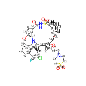 C[C@@H]1[C@@H](C)S(=O)(=O)NC(=O)c2ccc3c(c2)N(C[C@@H]2CC[C@H]2[C@@H](OCCN2CCS(=O)(=O)CC2)C2=C[C@H]1C2)C[C@@]1(CCCc2c1ccc(Cl)c2F)CO3